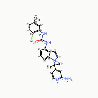 [2H]C([2H])(c1ccnc(N)c1)n1ccc2c(NC(=O)Nc3cc(C(F)(F)F)ccc3F)cccc21